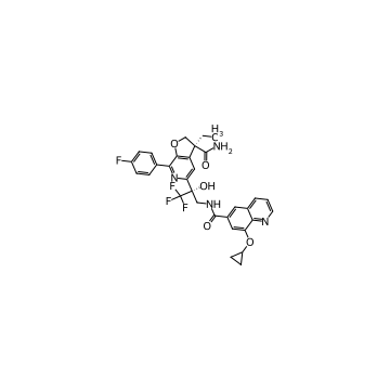 CC[C@@]1(C(N)=O)COc2c1cc([C@@](O)(CNC(=O)c1cc(OC3CC3)c3ncccc3c1)C(F)(F)F)nc2-c1ccc(F)cc1